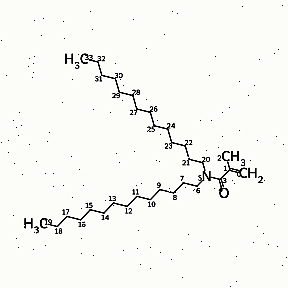 C=C(C)C(=O)N(CCCCCCCCCCCCCC)CCCCCCCCCCCCCC